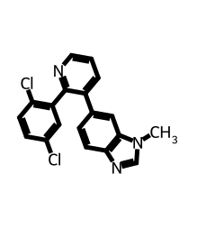 Cn1cnc2ccc(-c3cccnc3-c3cc(Cl)ccc3Cl)cc21